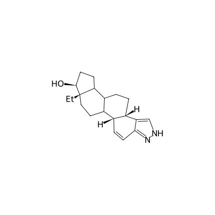 CC[C@]12CCC3C(CC[C@@H]4c5c[nH]nc5C=C[C@H]34)C1CC[C@@H]2O